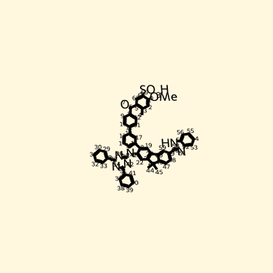 COc1cc(C)c(C(=O)c2ccc(-c3ccc4c(c3)c3cc5c(cc3n4-c3nc(-c4ccccc4)nc(-c4ccccc4)n3)C(C)(C)c3ccc(-c4nc6ccccc6[nH]4)cc3-5)cc2)cc1S(=O)(=O)O